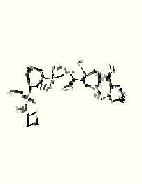 CC(C)(NC(=O)c1cc2[nH]c3ccccc3c(=O)c2cc1F)c1cccc(S(=O)(=O)NC2CCC2)c1